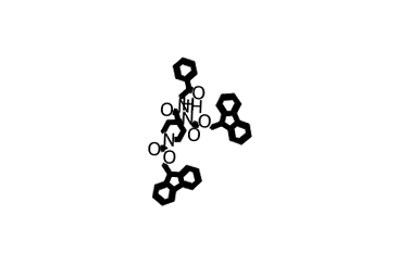 O=C(NC1(C(=O)NCC(=O)c2ccccc2)CCN(C(=O)OCC2c3ccccc3-c3ccccc32)CC1)OCC1c2ccccc2-c2ccccc21